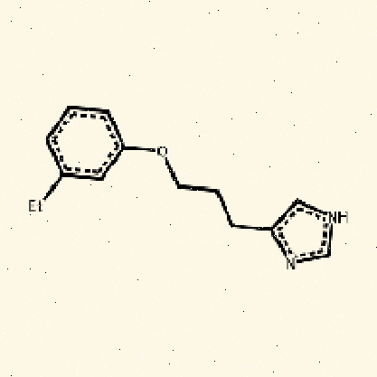 CCc1cccc(OCCCc2c[nH]cn2)c1